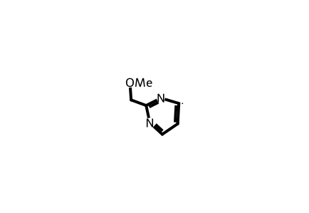 COCc1n[c]ccn1